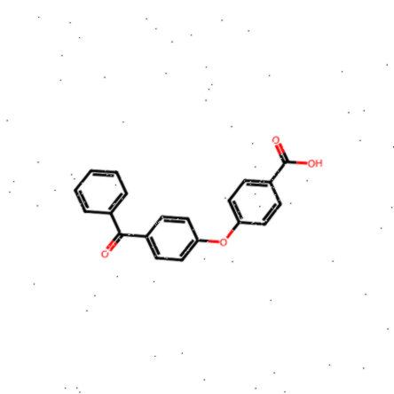 O=C(O)c1ccc(Oc2ccc(C(=O)c3ccccc3)cc2)cc1